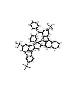 CC(C)(C)c1ccc2c(c1)c1cc(C(C)(C)C)cc3c4cc5c(nc4n2c13)c1cc2ccccc2c2c3cc(C(C)(C)C)cc(N(c4ccccc4)c4ccccc4)c3n5c12